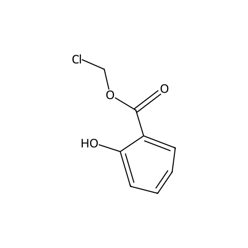 O=C(OCCl)c1ccccc1O